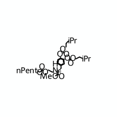 CCCCCOC(=O)OCCN[C@@H](Cc1ccc(OC(=O)OCCC(C)C)c(OC(=O)OCCC(C)C)c1)C(=O)OC